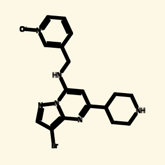 [O-][n+]1cccc(CNc2cc(C3CCNCC3)nc3c(Br)cnn23)c1